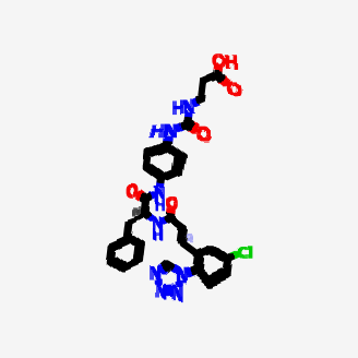 O=C(O)CCNC(=O)Nc1ccc(NC(=O)[C@H](Cc2ccccc2)NC(=O)/C=C/c2cc(Cl)ccc2-n2cnnn2)cc1